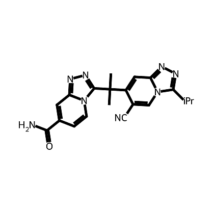 CC(C)c1nnc2cc(C(C)(C)c3nnc4cc(C(N)=O)ccn34)c(C#N)cn12